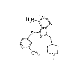 Cc1c#ccc(Sc2nn(CC3CCNCC3)c3ncnc(N)c23)c1